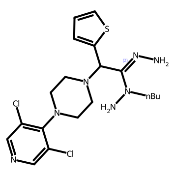 CCCCN(N)/C(=N\N)C(c1cccs1)N1CCN(c2c(Cl)cncc2Cl)CC1